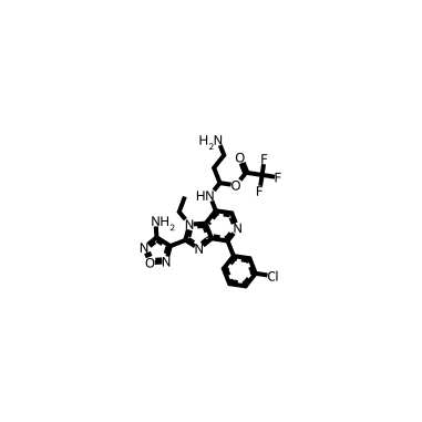 CCn1c(-c2nonc2N)nc2c(-c3cccc(Cl)c3)ncc(NC(CCN)OC(=O)C(F)(F)F)c21